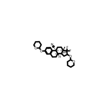 C[C@]12CC[C@]3(C#N)c4ccc(OC5CCCCO5)cc4CC[C@H]3[C@@H]1CC(OC1CCCCO1)C2(F)F